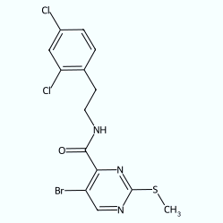 CSc1ncc(Br)c(C(=O)NCCc2ccc(Cl)cc2Cl)n1